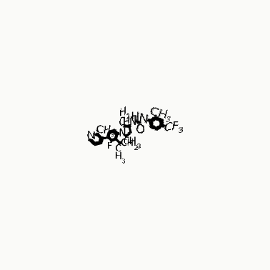 C=C(C)c1c(N2C(=C)[C@H](NC(=O)Nc3ccc(C(F)(F)F)cc3C)CC2C)ccc(-c2cccnc2C)c1F